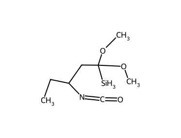 CCC(CC([SiH3])(OC)OC)N=C=O